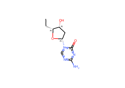 CC[C@H]1O[C@@H](n2cnc(N)nc2=O)C[C@H]1O